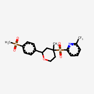 CC1(S(=O)(=O)c2cccc(C(F)(F)F)n2)CCOC(c2ccc(S(C)(=O)=O)cc2)C1